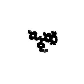 Cc1cc2c(cc1C(OCc1ccc(F)cc1)c1ccc(C(=O)O)cc1)C(C)(C)CCC2(C)C